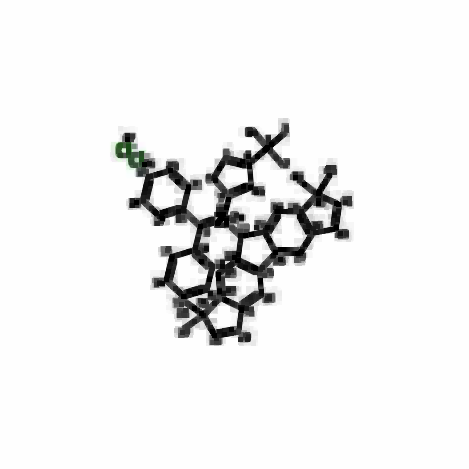 CC(C)(C)C1=CC[C]([Zr+2](=[C](c2ccccc2)c2ccccc2)[CH]2c3cc4c(cc3-c3cc5c(cc32)C(C)(C)C=C5)C=CC4(C)C)=C1.[Cl-].[Cl-]